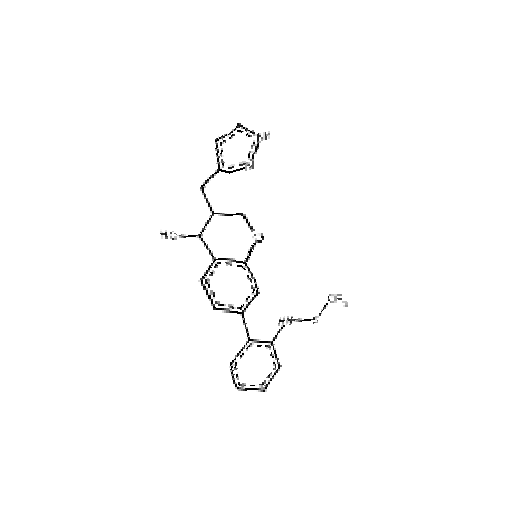 OC1c2ccc(-c3ccccc3NSC(F)(F)F)cc2OCC1Cc1cc[nH]n1